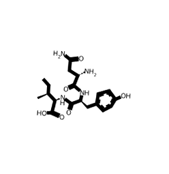 CC[C@H](C)[C@H](NC(=O)[C@H](Cc1ccc(O)cc1)NC(=O)[C@@H](N)CC(N)=O)C(=O)O